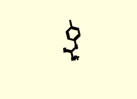 CCCC(=S)Sc1ccc(C)cc1